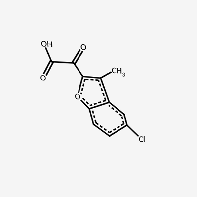 Cc1c(C(=O)C(=O)O)oc2ccc(Cl)cc12